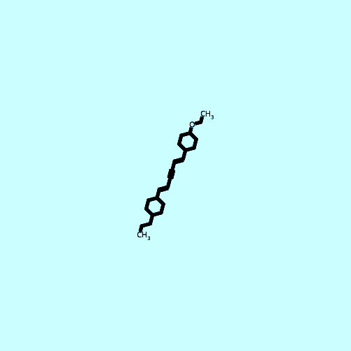 CCCC1CCC(C=CC#CC=CC2CCC(OCC)CC2)CC1